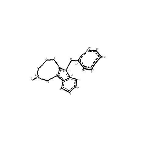 CN1CCCc2c(c3ccccc3n2Cc2ccccn2)C1